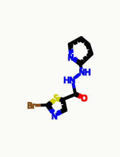 O=C(NNc1ccccn1)c1cnc(Br)s1